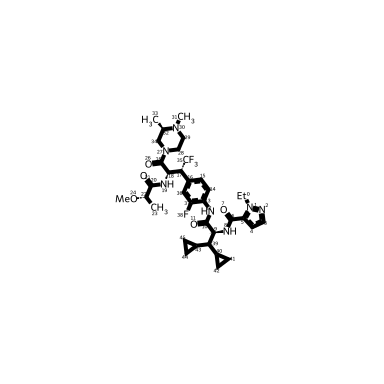 CCn1nccc1C(=O)N[C@H](C(=O)Nc1ccc([C@H]([C@H](NC(=O)[C@H](C)OC)C(=O)N2CCN(C)[C@H](C)C2)C(F)(F)F)cc1F)C(C1CC1)C1CC1